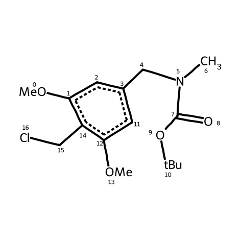 COc1cc(CN(C)C(=O)OC(C)(C)C)cc(OC)c1CCl